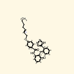 CCCC/C=C/COc1ccc(C(=O)Nc2cccc(Cl)c2Sc2ccccc2-c2nnn[nH]2)cc1